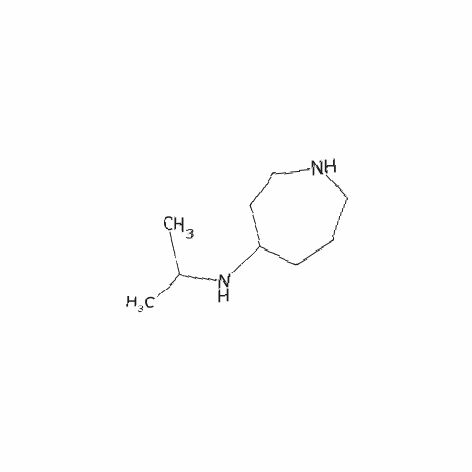 CC(C)NC1CCCNCC1